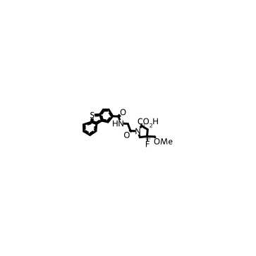 COC[C@@]1(F)C[C@@H](C(=O)O)N(C(=O)CNC(=O)c2ccc3sc4ccccc4c3c2)C1